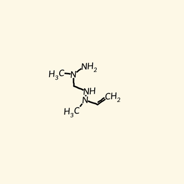 C=CN(C)NCN(C)N